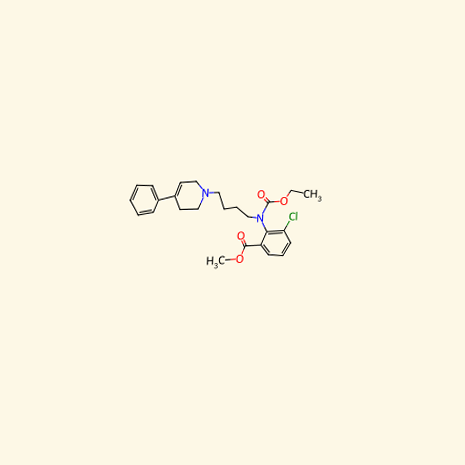 CCOC(=O)N(CCCCN1CC=C(c2ccccc2)CC1)c1c(Cl)cccc1C(=O)OC